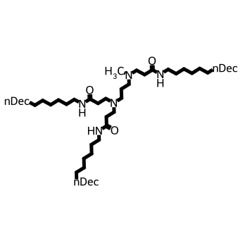 CCCCCCCCCCCCCCCCNC(=O)CCN(C)CCCN(CCC(=O)NCCCCCCCCCCCCCCCC)CCC(=O)NCCCCCCCCCCCCCCCC